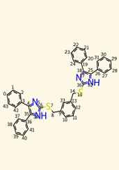 c1ccc(-c2nc(SCc3cccc(CSc4nc(-c5ccccc5)c(-c5ccccc5)[nH]4)c3)[nH]c2-c2ccccc2)cc1